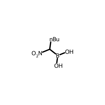 CCCCC(B(O)O)[N+](=O)[O-]